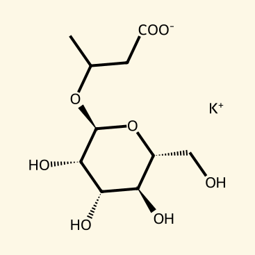 CC(CC(=O)[O-])O[C@H]1O[C@H](CO)[C@@H](O)[C@H](O)[C@@H]1O.[K+]